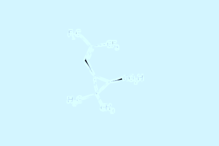 CC1(C)[C@H](C(=O)O)[C@@H]1C=C(C(F)(F)F)C(F)(F)F